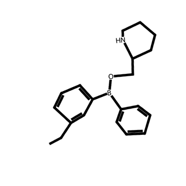 CCc1cccc(B(OCC2CCCCN2)c2ccccc2)c1